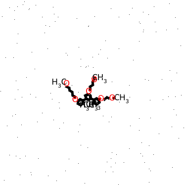 CCOCCCOc1ccc(C)c(-c2cc(OCCCCOC)cc(-c3cc(OCCCCCCOC)ccc3C)c2C)c1